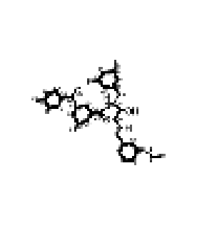 CCOc1cccc(CNC[C@H](O)[C@H](Cc2cc(F)cc(F)c2)NC(=O)c2cc(C)cc(C(=O)c3ccc(C)cc3)c2)c1